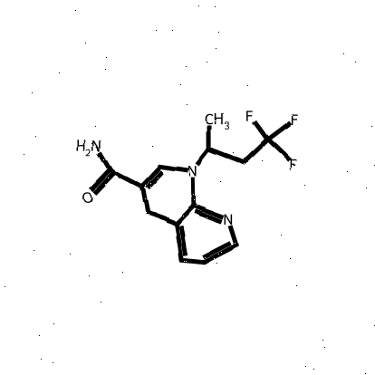 CC(CC(F)(F)F)N1C=C(C(N)=O)Cc2cccnc21